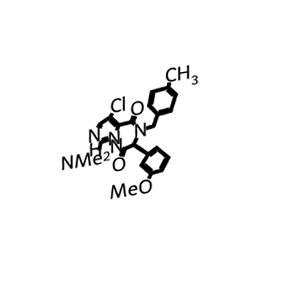 CNc1ncc(Cl)c(C(=O)N(Cc2ccc(C)cc2)C(C(N)=O)c2cccc(OC)c2)n1